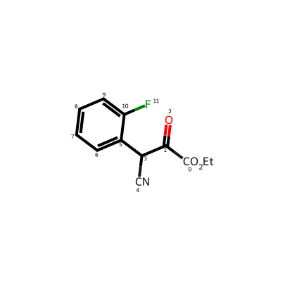 CCOC(=O)C(=O)C(C#N)c1ccccc1F